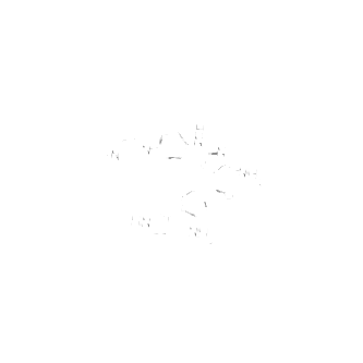 CN1CCN(c2ccc(Nc3nc(N)c(C(=O)c4ccc(C5CCNC5)c(N)c4)s3)cc2)CC1